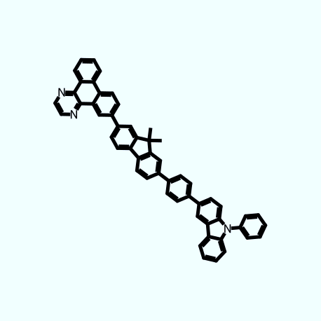 CC1(C)c2cc(-c3ccc(-c4ccc5c(c4)c4ccccc4n5-c4ccccc4)cc3)ccc2-c2ccc(-c3ccc4c5ccccc5c5nccnc5c4c3)cc21